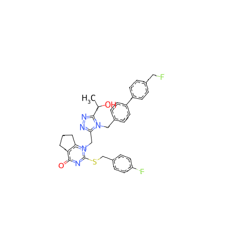 CC(O)c1nnc(Cn2c(SCc3ccc(F)cc3)nc(=O)c3c2CCC3)n1Cc1ccc(-c2ccc(CF)cc2)cc1